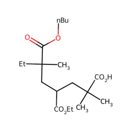 CCCCOC(=O)C(C)(CC)CC(CC(C)(C)C(=O)O)C(=O)OCC